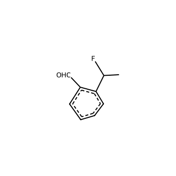 CC(F)c1ccccc1C=O